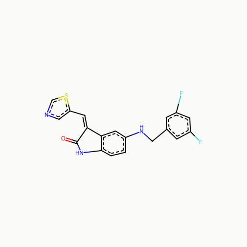 O=C1Nc2ccc(NCc3cc(F)cc(F)c3)cc2C1=Cc1cncs1